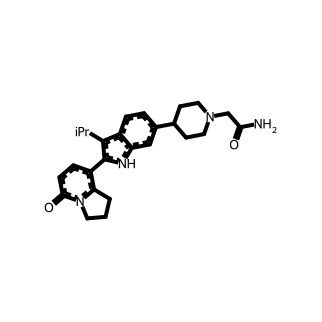 CC(C)c1c(-c2ccc(=O)n3c2CCC3)[nH]c2cc(C3CCN(CC(N)=O)CC3)ccc12